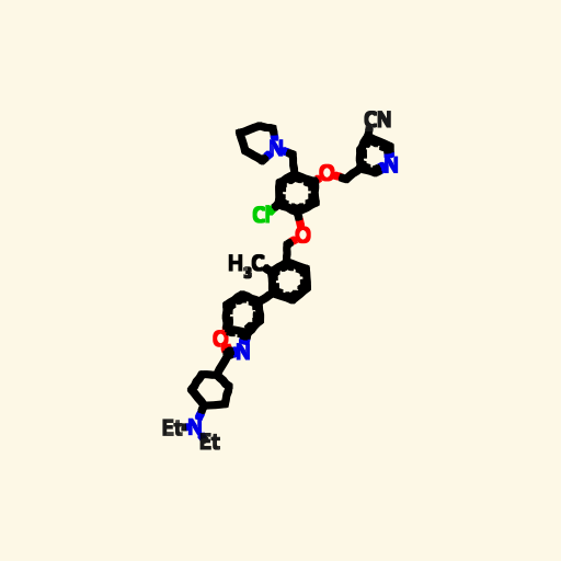 CCN(CC)C1CCC(c2nc3cc(-c4cccc(COc5cc(OCc6cncc(C#N)c6)c(CN6CCCCC6)cc5Cl)c4C)ccc3o2)CC1